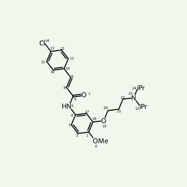 COc1ccc(NC(=O)C=Cc2ccc(Cl)cc2)cc1OCCCN(C(C)C)C(C)C